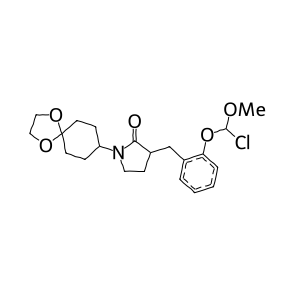 COC(Cl)Oc1ccccc1CC1CCN(C2CCC3(CC2)OCCO3)C1=O